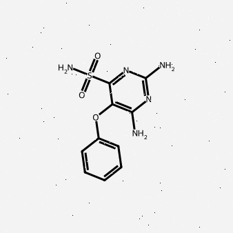 Nc1nc(N)c(Oc2ccccc2)c(S(N)(=O)=O)n1